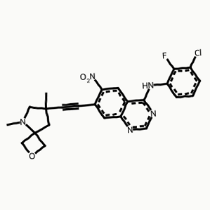 CN1CC(C)(C#Cc2cc3ncnc(Nc4cccc(Cl)c4F)c3cc2[N+](=O)[O-])CC12COC2